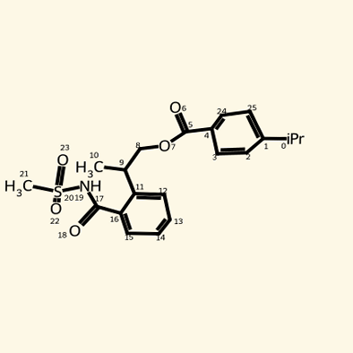 CC(C)c1ccc(C(=O)OCC(C)c2ccccc2C(=O)NS(C)(=O)=O)cc1